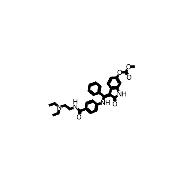 CCN(CC)CCNC(=O)c1ccc(N/C(=C2\C(=O)Nc3cc(OC(=O)OC)ccc32)c2ccccc2)cc1